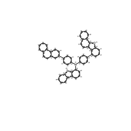 c1ccc2c(c1)ccc1cc(-c3ccc(N(c4ccc(-c5cccc6oc7c8ccccc8ccc7c56)cc4)c4cccc5c4sc4ccccc45)cc3)ccc12